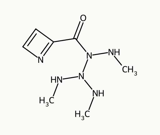 CNN(NC)N(NC)C(=O)C1=NC=C1